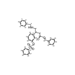 O=C(CC(CNCc1ccccc1)c1cccc(OS(=O)(=O)c2ccccc2)c1)OCc1ccccc1